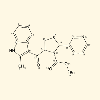 Cc1[nH]c2ccccc2c1C(=O)C1CSC(c2cccnc2)N1C(=O)OC(C)(C)C